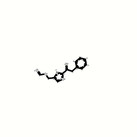 O=COCc1coc(C(=O)Cc2ccccc2)n1